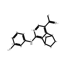 CC(=O)c1cnc(Nc2cccc(F)c2)c2c1C1CCC2C1